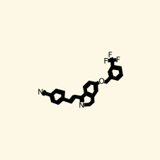 N#Cc1ccc(C=CC2=NCCc3cc(OCc4cccc(C(F)(F)F)c4)ccc32)cc1